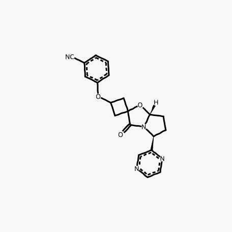 N#Cc1cccc(OC2CC3(C2)O[C@@H]2CC[C@@H](c4cnccn4)N2C3=O)c1